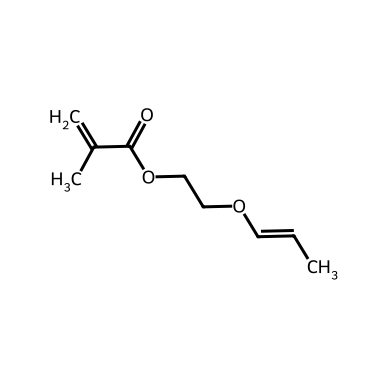 C=C(C)C(=O)OCCOC=CC